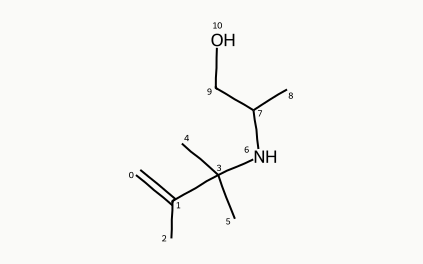 C=C(C)C(C)(C)NC(C)CO